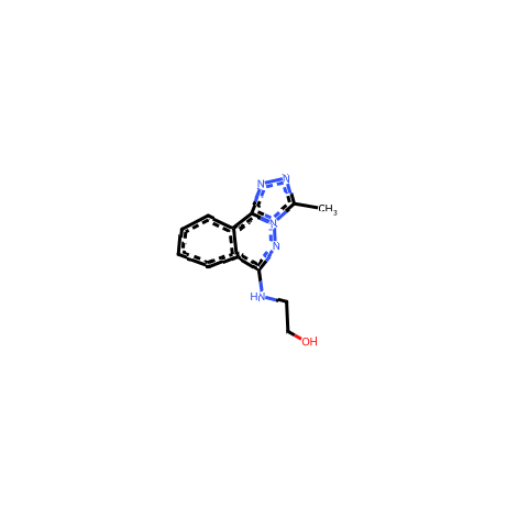 Cc1nnc2c3ccccc3c(NCCO)nn12